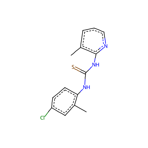 Cc1cc(Cl)ccc1NC(=S)Nc1ncccc1C